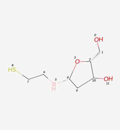 OC[C@H]1O[C@@H](BCCS)CC1O